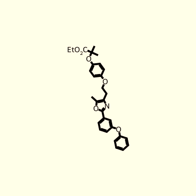 CCOC(=O)C(C)(C)Oc1ccc(OCCc2nc(-c3cccc(Oc4ccccc4)c3)oc2C)cc1